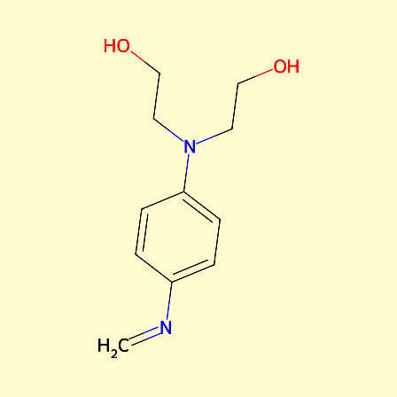 C=Nc1ccc(N(CCO)CCO)cc1